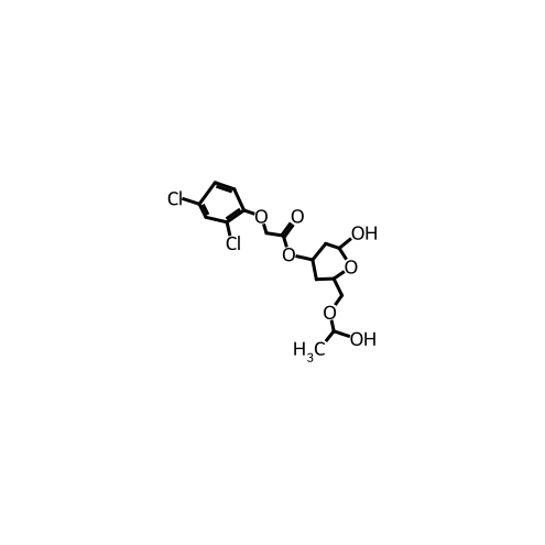 CC(O)OCC1CC(OC(=O)COc2ccc(Cl)cc2Cl)CC(O)O1